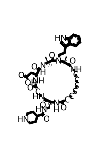 C[C@@H]1NC(=O)C(CC(=O)O)NC(=O)CNC(=O)[C@H](CNC(=O)C2CCNCC2)NC(=O)CCSSCCNC(=O)[C@H](C)N(CCc2c[nH]c3ccccc23)C1=O